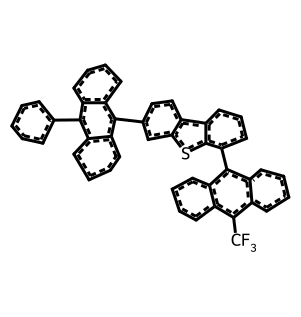 FC(F)(F)c1c2ccccc2c(-c2cccc3c2sc2cc(-c4c5ccccc5c(-c5ccccc5)c5ccccc45)ccc23)c2ccccc12